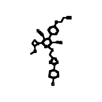 COC1CCN1c1nc(SCc2csc(-c3ccc(Cl)cc3)n2)c(C#N)c(-c2ccc(OCCO)cc2)c1C#N